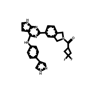 O=C(C1CC(F)(F)C1)N1Cc2ccc(-c3nc(Nc4ccc(-c5cn[nH]c5)cc4)c4cc[nH]c4n3)cc2C1